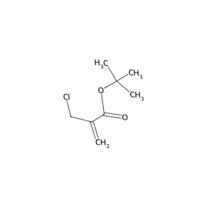 C=C(CCl)C(=O)OC(C)(C)C